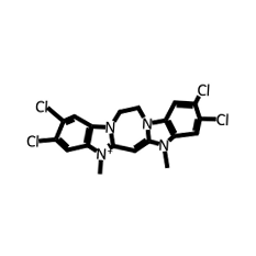 CN1C2=Cc3n(c4cc(Cl)c(Cl)cc4[n+]3C)CCN2c2cc(Cl)c(Cl)cc21